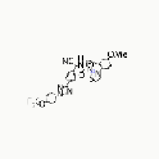 COc1ccc(N2CCS/C2=N\C(=O)NC(C#N)c2ccc(-c3ncn(-c4ccc(OC(F)(F)F)cc4)n3)cc2)c(C(C)C)c1